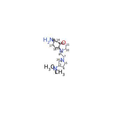 CN(C)C1CCN(CCN2CCOc3cc(N)ccc32)C1